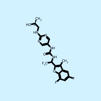 Cc1c(C(NC(=O)Nc2cnc(NC[C@H](C)O)nc2)C(F)(F)F)oc2c(F)cc(F)cc12